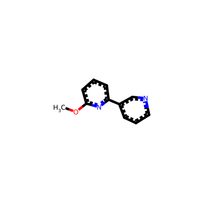 COc1cccc(-c2cccnc2)n1